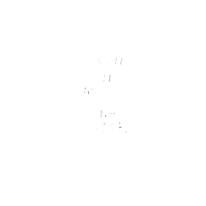 C[N+](C)(CCCNC(=O)C(F)(F)F)CC(O)CS(=O)(=O)O